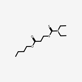 CCCCOC(=O)CCSC(=S)N(CC)CC